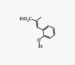 CCOC(=O)C(C)=Cc1ccccc1OCC